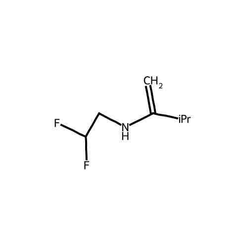 C=C(NCC(F)F)C(C)C